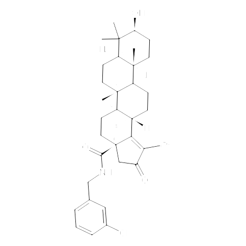 CC(C)C1=C2[C@H]3CC[C@@H]4[C@@]5(C)CC[C@H](O)C(C)(C)[C@@H]5CC[C@@]4(C)[C@]3(C)CC[C@@]2(C(=O)NCc2cccc(Cl)c2)CC1=O